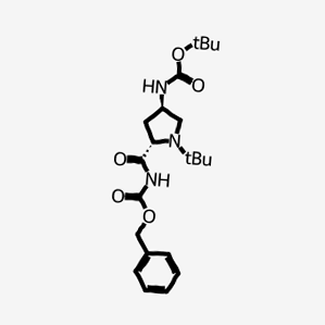 CC(C)(C)OC(=O)N[C@@H]1C[C@@H](C(=O)NC(=O)OCc2ccccc2)N(C(C)(C)C)C1